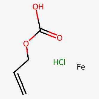 C=CCOC(=O)O.Cl.[Fe]